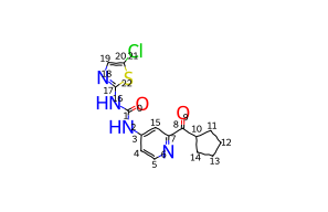 O=C(Nc1ccnc(C(=O)C2CCCC2)c1)Nc1ncc(Cl)s1